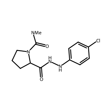 CNC(=O)N1CCCC1C(=O)NNc1ccc(Cl)cc1